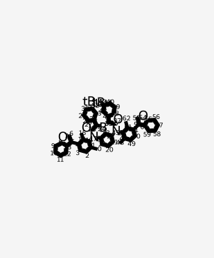 Cc1ccc(-c2coc3ccccc23)c(C)c1N1c2cccc3c2B(c2c1oc1ccc(C(C)(C)C)cc21)c1c(oc2ccc(C(C)(C)C)cc12)N3c1c(C)ccc(-c2coc3ccccc23)c1C